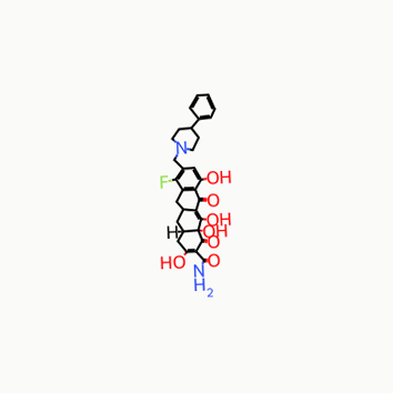 NC(=O)C1=C(O)C[C@@H]2CC3Cc4c(F)c(CN5CCC(c6ccccc6)CC5)cc(O)c4C(=O)C3=C(O)[C@]2(O)C1=O